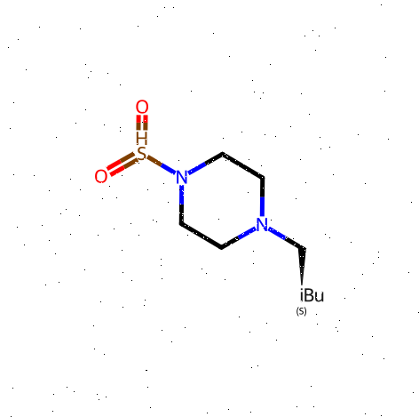 CC[C@H](C)CN1CCN([SH](=O)=O)CC1